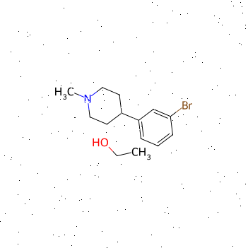 CCO.CN1CCC(c2cccc(Br)c2)CC1